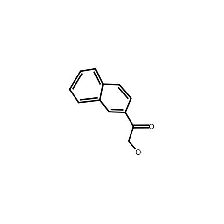 [O]CC(=O)c1ccc2ccccc2c1